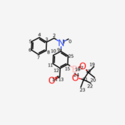 CN(Cc1ccccc1)c1ccc(C=O)c(B2OC(C)(C)C(C)(C)O2)c1